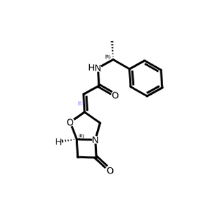 C[C@@H](NC(=O)/C=C1\CN2C(=O)C[C@H]2O1)c1ccccc1